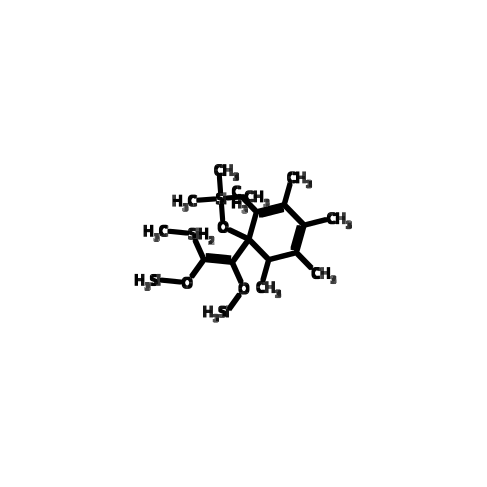 C[SiH2]C(O[SiH3])=C(O[SiH3])C1(O[Si](C)(C)C)C(C)=C(C)C(C)=C(C)C1C